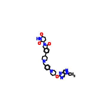 Cn1ncc2nc(OC3CCN(c4ccc(CN5CCC(c6ccc7c(c6)CN(C6CCC(=O)NC6=O)C7=O)CC5)cc4)CC3)ncc21